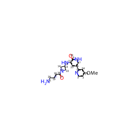 COc1ccnc(-c2c[nH]c(=O)c(NC3CN(C(=O)/C=C/CN)C3)c2)c1